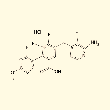 COc1ccc(-c2c(C(=O)O)cc(Cc3ccnc(N)c3F)c(F)c2F)c(F)c1.Cl